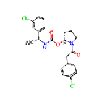 N#CC(NC(=O)O[C@H]1CCCN1C(=O)Cc1ccc(Cl)cc1)c1cccc(Cl)c1